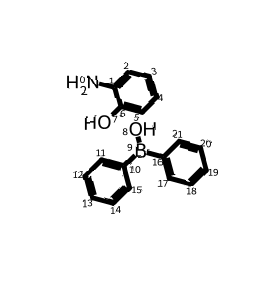 Nc1ccccc1O.OB(c1ccccc1)c1ccccc1